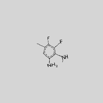 CNc1c(N)cc(C)c(F)c1F